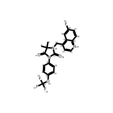 CC1(C)C(=O)N(c2ccc(OC(F)(F)F)cc2)C(=O)N1Cc1ccnc2ccc(F)cc12